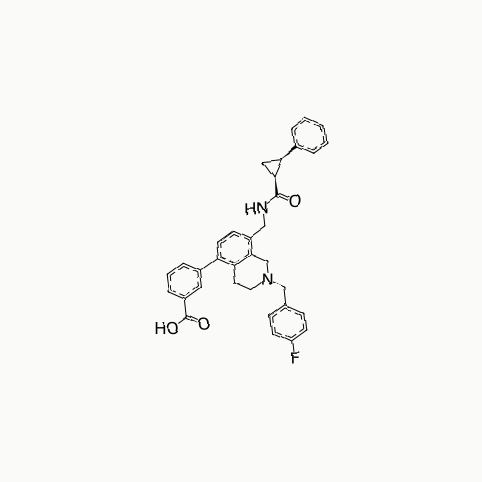 O=C(O)c1cccc(-c2ccc(CNC(=O)[C@H]3C[C@H]3c3ccccc3)c3c2CCN(Cc2ccc(F)cc2)C3)c1